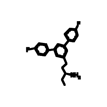 CC[C@H](N)CCc1cc(-c2ccc(F)cc2)cc(-c2ccc(F)cc2)c1